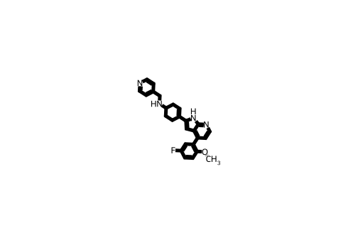 COc1ccc(F)cc1-c1ccnc2[nH]c(C3=CCC(NCc4ccncc4)CC3)cc12